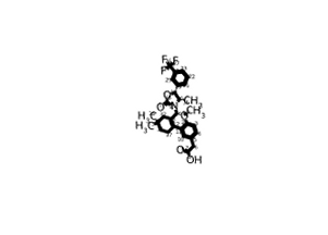 COc1ccc(CC(=O)O)cc1C1=C(CN2C(=O)O[C@H](c3cccc(C(F)(F)F)c3)[C@@H]2C)CC(C)(C)CC1